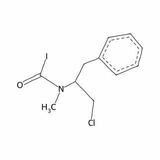 CN(C(=O)I)C(CCl)Cc1ccccc1